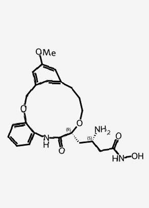 COc1cc2cc(c1)COc1ccccc1NC(=O)[C@@H](C[C@H](N)CC(=O)NO)OCCC2